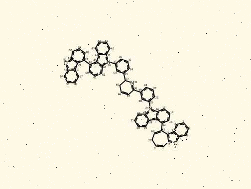 C1=Cc2oc3ccccc3c2C(c2cccc3c2c2ccccc2n3-c2cccc(C3=NC(c4cccc(-n5c6ccccc6c6c(-c7cccc8oc9ccccc9c78)cccc65)c4)CC=C3)c2)=CC1